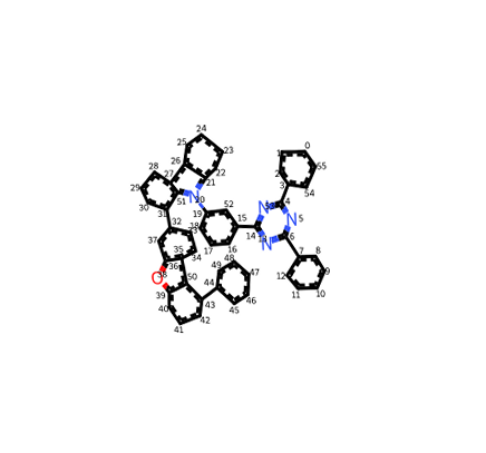 c1ccc(-c2nc(-c3ccccc3)nc(-c3cccc(-n4c5ccccc5c5cccc(-c6ccc7c(c6)oc6cccc(-c8ccccc8)c67)c54)c3)n2)cc1